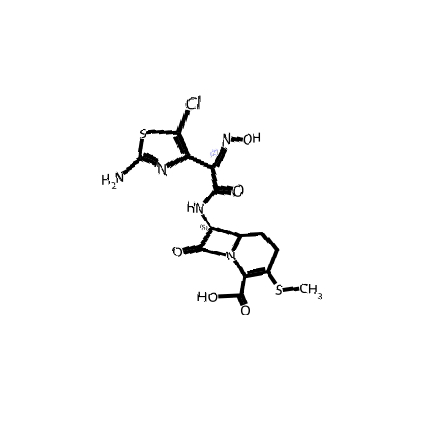 CSC1=C(C(=O)O)N2C(=O)[C@@H](NC(=O)/C(=N\O)c3nc(N)sc3Cl)C2CC1